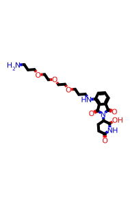 NCCCOCCOCCOCCCNc1cccc2c1C(=O)N(C1CCC(=O)NC1O)C2=O